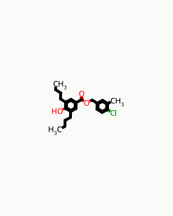 CCCCc1cc(C(=O)OCc2ccc(Cl)c(C)c2)cc(CCCC)c1O